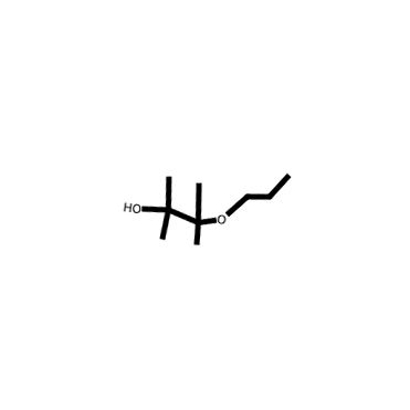 CCCOC(C)(C)C(C)(C)O